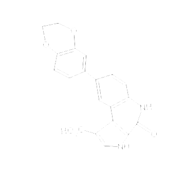 O=C(O)c1c[nH]c2c(=O)[nH]c3ccc(-c4ccc5c(c4)OCCO5)cc3c12